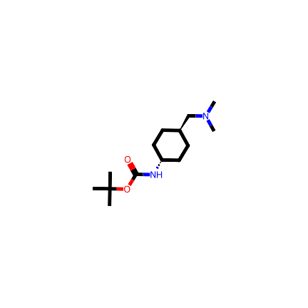 CN(C)C[C@H]1CC[C@H](NC(=O)OC(C)(C)C)CC1